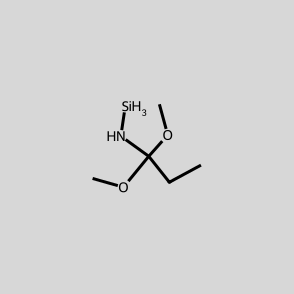 CCC(N[SiH3])(OC)OC